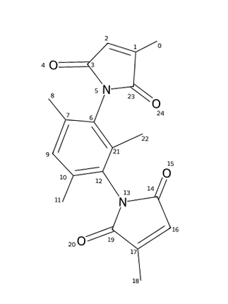 CC1=CC(=O)N(c2c(C)cc(C)c(N3C(=O)C=C(C)C3=O)c2C)C1=O